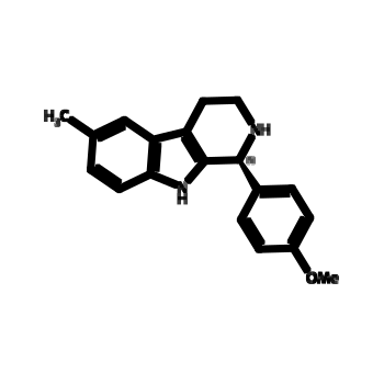 COc1ccc([C@@H]2NCCc3c2[nH]c2ccc(C)cc32)cc1